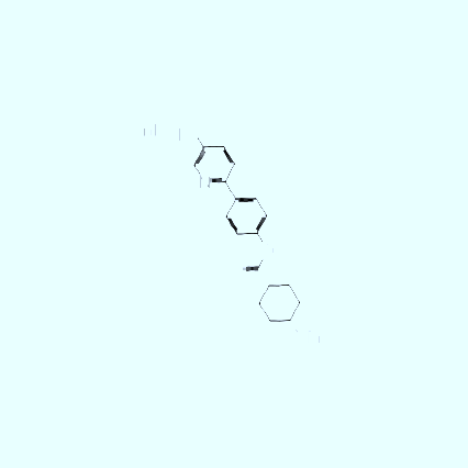 CCCCCCCc1ccc(-c2ccc(OC(=O)[C@H]3CC[C@H](CCC)CC3)cc2)nc1